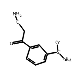 CCCC[S+]([O-])c1cccc(C(=O)CCN)c1